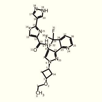 CCO[C@H]1C[C@@H](n2cc(NC(=O)c3csc(-c4cn[nH]c4)n3)c(-c3ncccc3C(F)(F)F)n2)C1